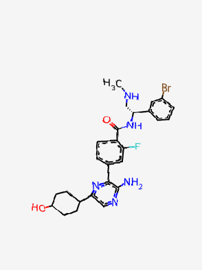 CNC[C@@H](NC(=O)c1ccc(-c2nc(C3CCC(O)CC3)cnc2N)cc1F)c1cccc(Br)c1